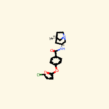 O=C(N[C@@H]1C[C@H]2CCN(C2)C1)c1ccc(Oc2ccc(Cl)o2)cc1